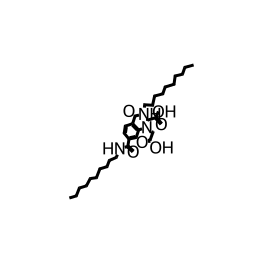 CCCCCCCCCCNC(=O)c1ccc(C(=O)NCCCCCCCCCC)c(N(CC(=O)O)CC(=O)O)c1